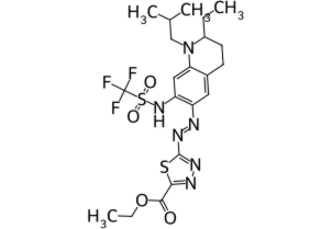 CCOC(=O)c1nnc(N=Nc2cc3c(cc2NS(=O)(=O)C(F)(F)F)N(CC(C)C)C(CC)CC3)s1